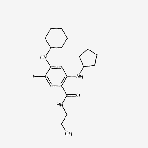 O=C(NCCO)c1cc(F)c(NC2CCCCC2)cc1NC1CCCC1